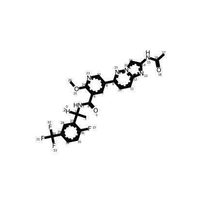 [2H]C(C)(NC(=O)c1cc(-c2ccc3nc(NC(C)=O)cn3n2)cnc1OC)c1cc(C(F)(F)F)ccc1F